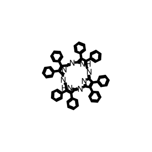 c1ccc(C2=C(c3ccccc3)c3nc2nc2[nH]c(nc4nc(nc5[nH]c(n3)c(-c3ccccc3)c5-c3ccccc3)C(c3ccccc3)=C4c3ccccc3)c(-c3ccccc3)c2-c2ccccc2)cc1